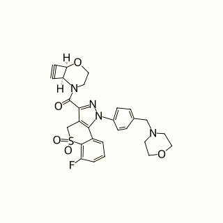 O=C(c1nn(-c2ccc(CN3CCOCC3)cc2)c2c1CS(=O)(=O)c1c(F)cccc1-2)N1CCO[C@@H]2C#C[C@@H]21